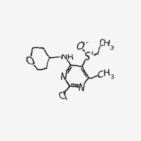 CC[S+]([O-])c1c(C)nc(Cl)nc1NC1CCOCC1